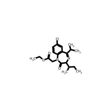 CCOC(=O)CN1C(=O)C(C(C)CC)N=C(C(C)C)c2cc(Cl)ccc21